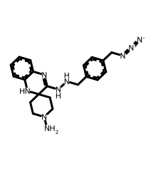 [N-]=[N+]=NCc1ccc(CNNC2=Nc3ccccc3NC23CCN(N)CC3)cc1